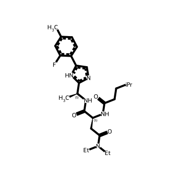 CCN(CC)C(=O)C[C@H](NC(=O)CCC(C)C)C(=O)N[C@@H](C)c1ncc(-c2ccc(C)cc2F)[nH]1